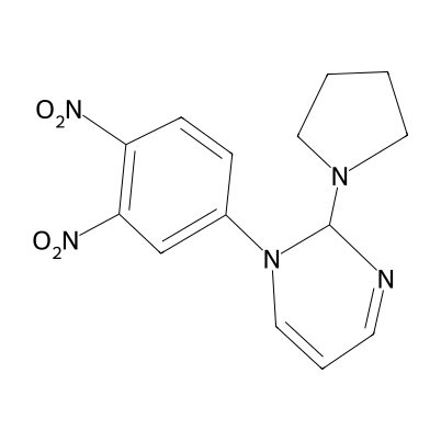 O=[N+]([O-])c1ccc(N2C=CC=NC2N2CCCC2)cc1[N+](=O)[O-]